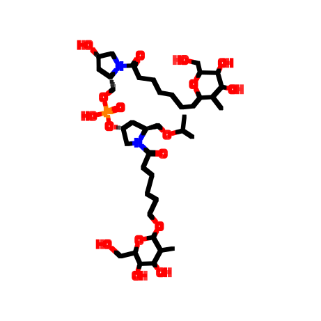 CC(C)OC[C@@H]1C[C@@H](OP(=O)(O)OC[C@@H]2C[C@@H](O)CN2C(=O)CCCCCCC2OC(CO)C(O)C(O)C2C)CN1C(=O)CCCCCOC1OC(CO)C(O)C(O)C1C